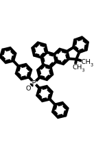 CC1(C)c2ccccc2-c2cc3c4ccccc4c4cc(P(=O)(c5ccc(-c6ccccc6)cc5)c5ccc(-c6ccccc6)cc5)ccc4c3cc21